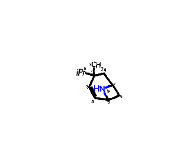 CC(C)C1(C)C=CC2CC(C1)N2